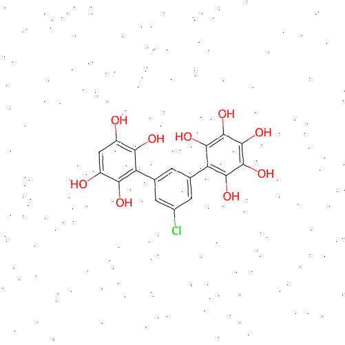 Oc1cc(O)c(O)c(-c2cc(Cl)cc(-c3c(O)c(O)c(O)c(O)c3O)c2)c1O